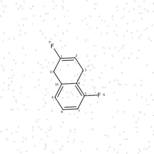 FC1=C[CH]c2c(F)cccc2C1